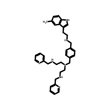 Cc1ccc2[nH]cc(CCNCc3ccc(CN(CCNCc4ccccn4)CCNCc4ccccn4)cc3)c2c1